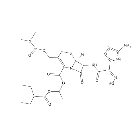 CCC(CC)C(=O)OC(C)OC(=O)C1=C(COC(=O)N(C)C)CS[C@H]2C(NC(=O)/C(=N\O)c3csc(N)n3)C(=O)N12